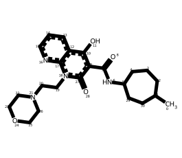 CC1CCCC(NC(=O)c2c(O)c3cccnc3n(CCN3CCOCC3)c2=O)CC1